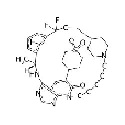 C[C@H]1Nc2ncnc3c2cc(C2CCS(=O)(=O)CC2)c(=O)n3CCCCCN2CCC(CC2)CCC(F)(F)c2cccc1c2F